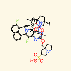 CC(C)[Si](C#Cc1c(F)ccc2cccc(-c3ncc4c(N5C[C@H]6CC[C@@H](C5)N6C(=O)OC(C)(C)C)nc(OC[C@@]56CCCN5C[C@H](S(=O)(=O)O)C6)nc4c3F)c12)(C(C)C)C(C)C